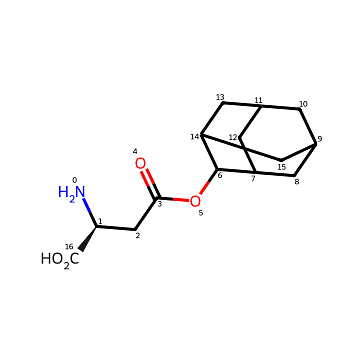 N[C@@H](CC(=O)OC1C2CC3CC(C2)CC1C3)C(=O)O